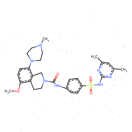 COc1ccc(N2CCN(C)CC2)c2c1CCN(C(=O)Nc1ccc(S(=O)(=O)Nc3nc(C)cc(C)n3)cc1)C2